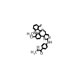 CNC(=O)c1ccc(Nc2ncc3c(n2)-c2ccc(Cl)cc2C(c2c(F)cccc2NC)=NC3)cc1